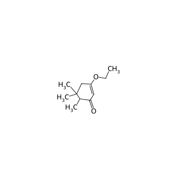 CCOC1=CC(=O)C(C)C(C)(C)C1